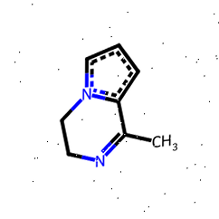 CC1=NCCn2cccc21